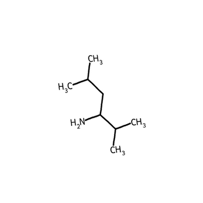 CC(C)CC(N)C(C)C